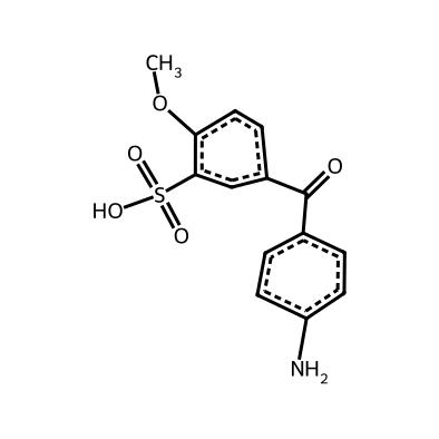 COc1ccc(C(=O)c2ccc(N)cc2)cc1S(=O)(=O)O